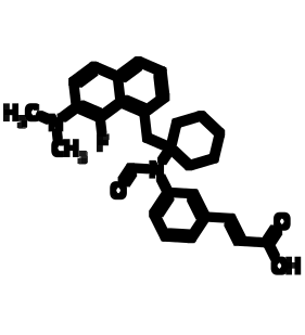 CN(C)c1ccc2cccc(CC3(N(C=O)c4cccc(/C=C/C(=O)O)c4)CCCCC3)c2c1F